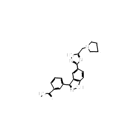 CNC(=O)c1cccc(-c2n[nH]c3ccc(-c4n[nH]c(CN5CCCC5)n4)cc23)c1